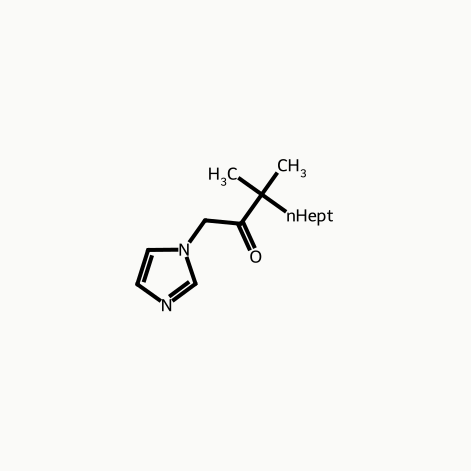 CCCCCCCC(C)(C)C(=O)Cn1ccnc1